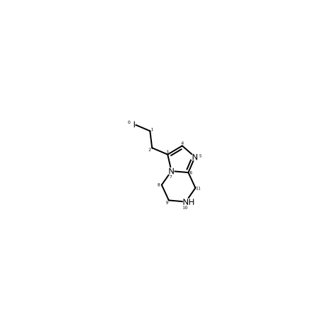 ICCc1cnc2n1CCNC2